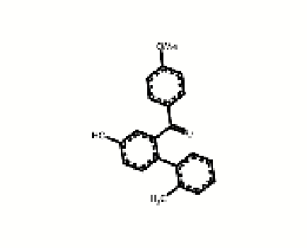 COc1ccc(C(=O)c2cc(O)ccc2-c2ccccc2C)cc1